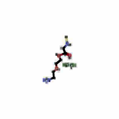 Cl.Cl.NCCOCCOC(=O)CN=S